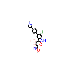 COc1cc(/C(O)=C2\C(=O)Nc3cc(Cl)c(-c4ccc(C5CCN(C)C5)cc4)cc32)on1